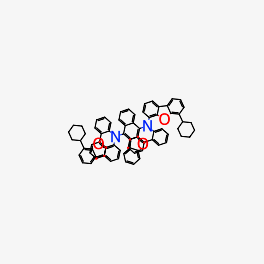 c1ccc(-c2ccccc2N(c2cccc3c2oc2c(C4CCCCC4)cccc23)c2c3ccccc3c(N(c3ccccc3-c3ccccc3)c3cccc4c3oc3c(C5CCCCC5)cccc34)c3c2oc2ccccc23)cc1